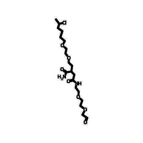 CC(Cl)CCCCOCCOCCC(CC(=O)NCCOCCOCC=O)C(N)=O